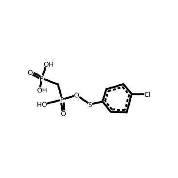 O=P(O)(O)CP(=O)(O)OSc1ccc(Cl)cc1